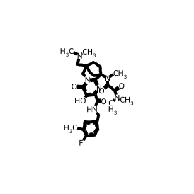 Cc1cc(CNC(=O)c2nc3n(c(=O)c2O)CC2(CN(C)C)CCC3(N(C)C(=O)C(=O)N(C)C)CC2)ccc1F